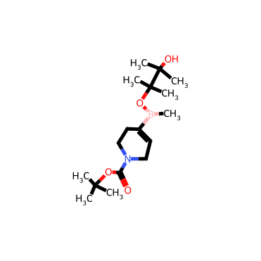 CB(OC(C)(C)C(C)(C)O)C1=CCN(C(=O)OC(C)(C)C)CC1